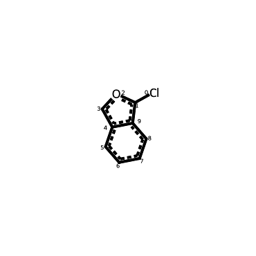 Clc1occ2ccccc12